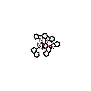 c1ccc(-n2c3ccccc3c3ccc4c5ccccc5n(-c5nc(-c6cccc7ccccc67)nc(-c6cccc7ccccc67)n5)c4c32)c(-c2nc3ccccc3s2)c1